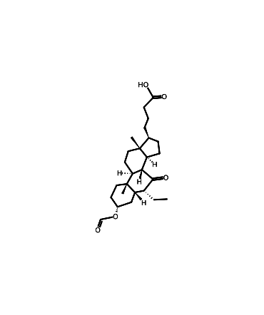 CC[C@H]1C(=O)[C@@H]2[C@H](CC[C@]3(C)[C@@H](CCCC(=O)O)CC[C@@H]23)[C@@]2(C)CC[C@@H](OC=O)C[C@@H]12